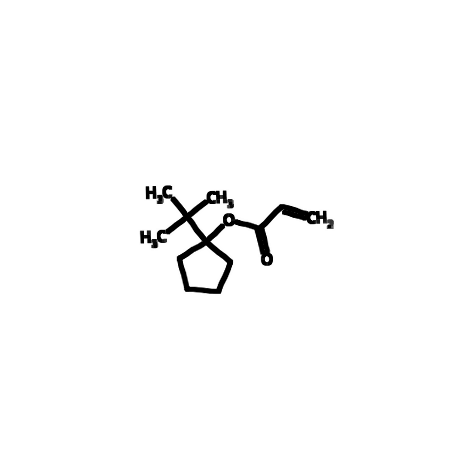 C=CC(=O)OC1(C(C)(C)C)CCCC1